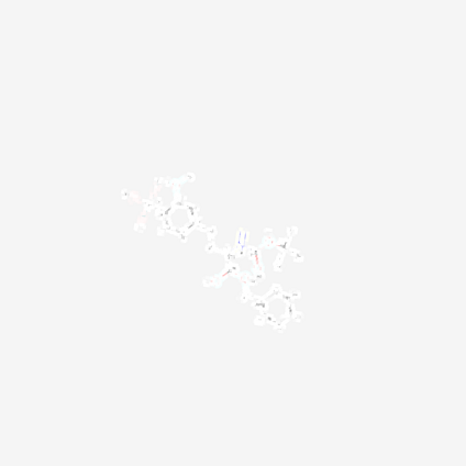 COc1cc(CC[C@H](NC(=O)OC(C)(C)C)C(=O)OCc2ccccc2)ccc1C(F)(F)F